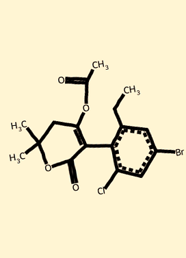 CCc1cc(Br)cc(Cl)c1C1=C(OC(C)=O)CC(C)(C)OC1=O